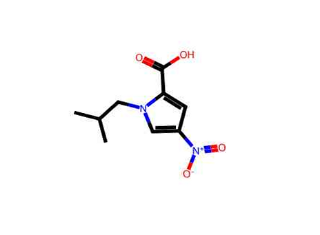 CC(C)Cn1cc([N+](=O)[O-])cc1C(=O)O